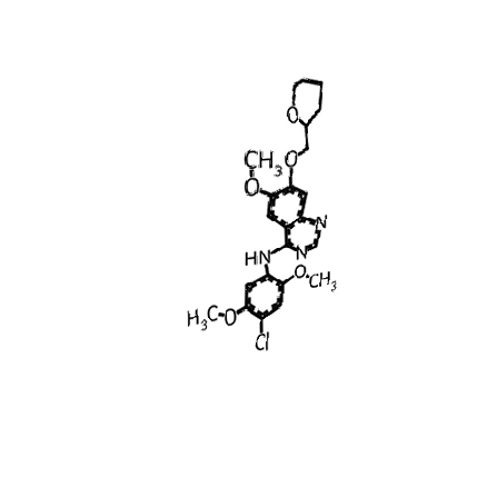 COc1cc(Nc2ncnc3cc(OCC4CCCCO4)c(OC)cc23)c(OC)cc1Cl